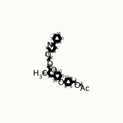 CC(=O)COCc1ccc(Oc2cccc(CC(C)C(=O)COCCOc3ccc(-c4ccccc4)nc3)c2)cc1